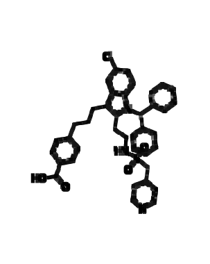 O=C(O)c1ccc(CCCc2c(CCNS(=O)(=O)Cc3ccncc3)n(C(c3ccccc3)c3ccccc3)c3ccc(Cl)cc23)cc1